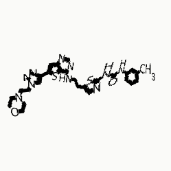 Cc1cccc(NC(=O)Nc2ncc(CCNc3ncnc4cc(-c5cn(CCN6CCOCC6)nn5)sc34)s2)c1